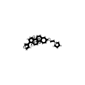 C[C@]12CCC(OCCN3CCCC3)CC1CC[C@@H]1[C@H]2CC[C@]2(C)C(c3ccoc3)CC3O[C@]312